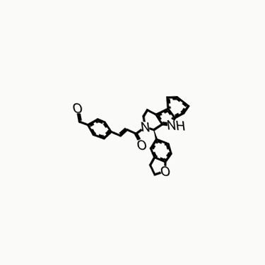 O=Cc1ccc(/C=C/C(=O)N2CCc3c([nH]c4ccccc34)[C@H]2c2ccc3c(c2)CCO3)cc1